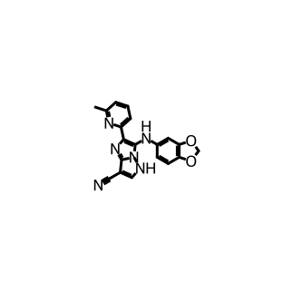 Cc1cccc(-c2nc3c(C#N)c[nH]n3c2Nc2ccc3c(c2)OCO3)n1